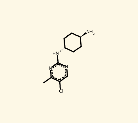 Cc1nc(N[C@H]2CC[C@H](N)CC2)ncc1Cl